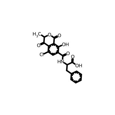 CC1OC(=O)c2c(O)c(C(=O)NC(Cc3ccccc3)C(=O)O)cc(Cl)c2C1=O